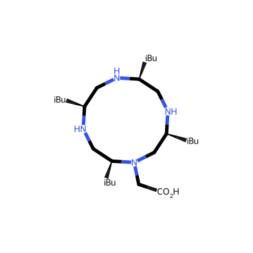 CCC(C)[C@H]1CN[C@@H](C(C)CC)CN[C@@H](C(C)CC)CN[C@@H](C(C)CC)CN1CC(=O)O